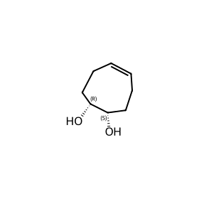 O[C@@H]1CCC=CCC[C@@H]1O